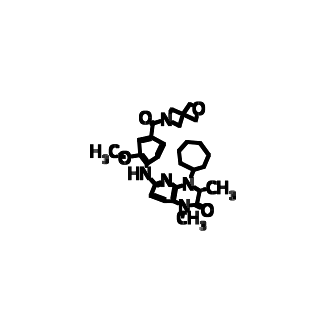 COc1cc(C(=O)N2CC3(COC3)C2)ccc1Nc1ccc2c(n1)N(C1CCCCCC1)[C@@H](C)C(=O)N2C